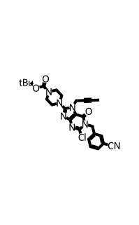 CC#CCn1c(N2CCN(C(=O)OC(C)(C)C)CC2)nc2nc(Cl)n(Cc3cccc(C#N)c3)c(=O)c21